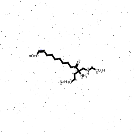 CCCCCCCC/C=C\CCCCCCCC(=O)C(N)(CCO)CNCC(=O)O.[NaH]